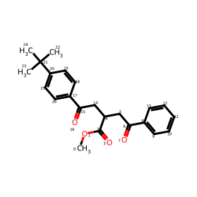 COC(=O)C(CC(=O)c1ccccc1)CC(=O)c1ccc(C(C)(C)C)cc1